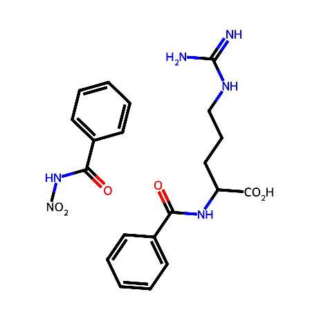 N=C(N)NCCCC(NC(=O)c1ccccc1)C(=O)O.O=C(N[N+](=O)[O-])c1ccccc1